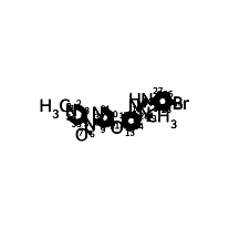 CN1CCC(N(C=O)c2cc(Oc3ccc4c(c3)nc(Nc3ccc(Br)cc3)n4C)ccn2)CC1